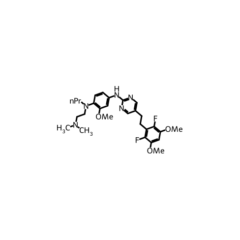 CCCN(CCN(C)C)c1ccc(Nc2ncc(CCc3c(F)c(OC)cc(OC)c3F)cn2)cc1OC